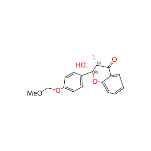 COCOc1ccc([C@]2(O)Oc3ccccc3C(=O)[C@H]2C)cc1